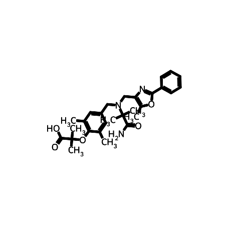 Cc1cc(CN(Cc2nc(-c3ccccc3)oc2C)C(C)(C)C(N)=O)cc(C)c1OC(C)(C)C(=O)O